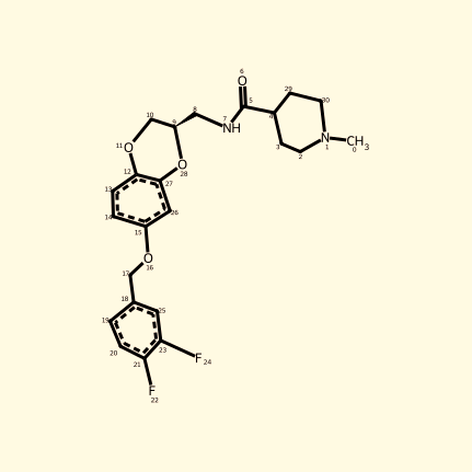 CN1CCC(C(=O)NC[C@@H]2COc3ccc(OCc4ccc(F)c(F)c4)cc3O2)CC1